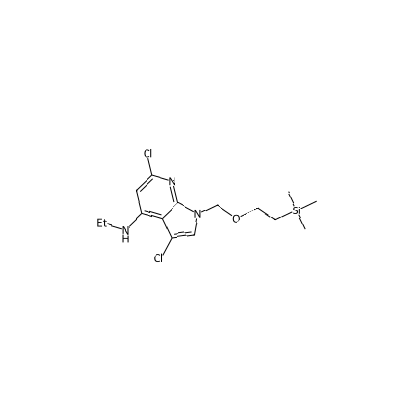 CCNc1cc(Cl)nc2c1c(Cl)cn2COCC[Si](C)(C)C